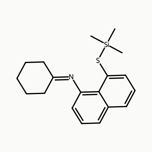 C[Si](C)(C)Sc1cccc2cccc(N=C3CCCCC3)c12